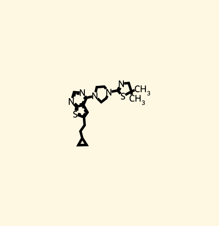 CC1(C)CN=C(N2CCN(c3ncnc4sc(CCC5CC5)cc34)CC2)S1